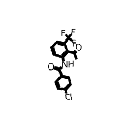 CC(=O)c1c(NC(=O)c2ccc(Cl)cc2)cccc1C(F)(F)F